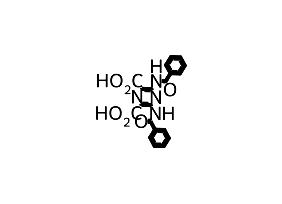 O=C(Nc1nc(NC(=O)c2ccccc2)c(C(=O)O)nc1C(=O)O)c1ccccc1